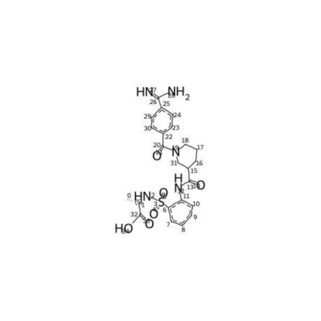 C[C@H](NS(=O)(=O)c1ccccc1NC(=O)C1CCCN(C(=O)c2ccc(C(=N)N)cc2)C1)C(=O)O